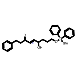 CC(C)(C)[Si](OCCCC(O)/C=C/C(=O)CCc1ccccc1)(c1ccccc1)c1ccccc1